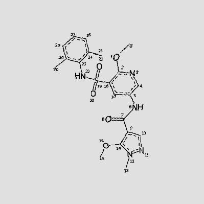 COc1ncc(NC(=O)c2cnn(C)c2OC)cc1S(=O)(=O)Nc1c(C)cccc1C